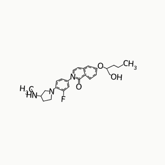 CCCC(CO)Oc1ccc2c(=O)n(-c3ccc(N4CCC(NC)C4)c(F)c3)ccc2c1